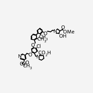 COC(=O)C1CN(CCCOc2cccc(-c3cccc(COc4cc(OCc5cncc(S(C)(=O)=O)c5)c(CN5CCCC[C@H]5C(=O)O)cc4Cl)c3C)c2C)CC1O